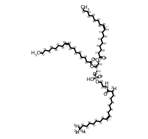 [2H]C(CCCCCC/C=C\CCCCCCCC([2H])([2H])[2H])C(=O)NCCOP(=O)(O)OC[C@@H](COC(=O)CCCCCCC/C=C\CCCCCCCC)OC(=O)CCCCCCC/C=C\CCCCCCCC